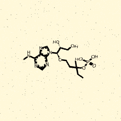 CCC(C)(CCO[C@H]([C@H](O)CO)n1cnc2c(NC)ncnc21)OP(=O)(O)O